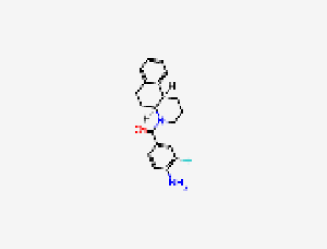 Nc1ccc(C(=O)N2CCC[C@@H]3c4ccccc4CC[C@@H]32)cc1F